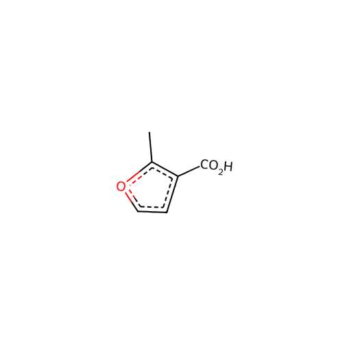 Cc1occc1C(=O)O